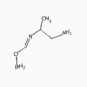 BOC=NC(C)CN